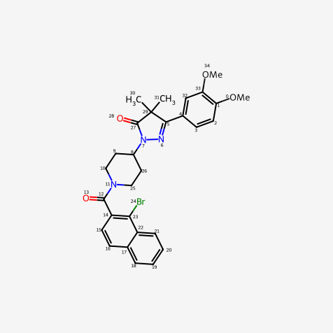 COc1ccc(C2=NN(C3CCN(C(=O)c4ccc5ccccc5c4Br)CC3)C(=O)C2(C)C)cc1OC